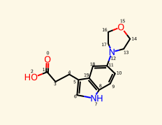 O=C(O)CCc1c[nH]c2ccc(N3CCOCC3)cc12